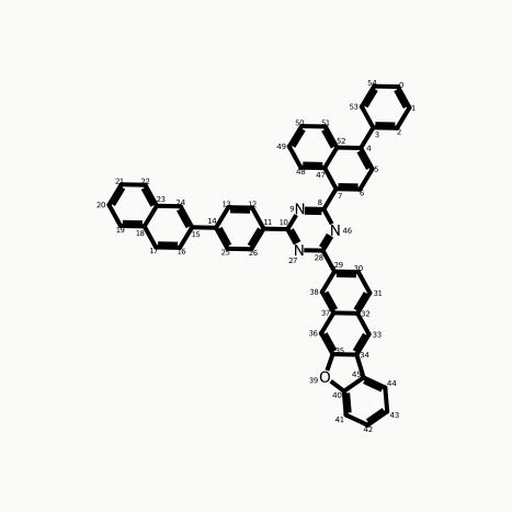 c1ccc(-c2ccc(-c3nc(-c4ccc(-c5ccc6ccccc6c5)cc4)nc(-c4ccc5cc6c(cc5c4)oc4ccccc46)n3)c3ccccc23)cc1